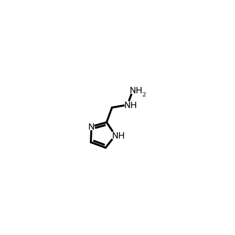 NNCc1ncc[nH]1